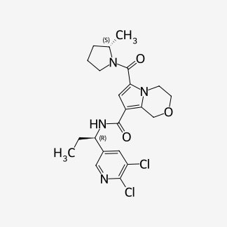 CC[C@@H](NC(=O)c1cc(C(=O)N2CCC[C@@H]2C)n2c1COCC2)c1cnc(Cl)c(Cl)c1